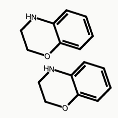 c1ccc2c(c1)NCCO2.c1ccc2c(c1)NCCO2